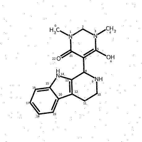 CN1CN(C)C(O)=C(C2NCCc3c2[nH]c2ccccc32)C1=O